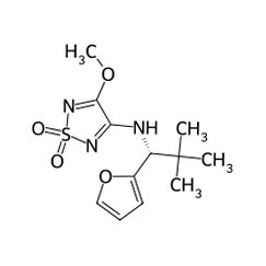 COC1=NS(=O)(=O)N=C1N[C@@H](c1ccco1)C(C)(C)C